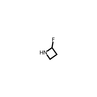 FC1CCN1